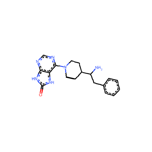 NC(Cc1ccccc1)C1CCN(c2ncnc3[nH]c(=O)[nH]c23)CC1